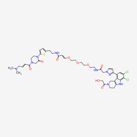 CN(C)CC=CC(=O)N1CCN(c2ccc(CCNC(=O)/C=C/OCCOCCOCCNC(=O)Cn3ccc(-c4cc(Cl)c(Cl)c5[nH]c6c(c45)CN(C(=O)CO)CC6)n3)s2)C(=O)C1